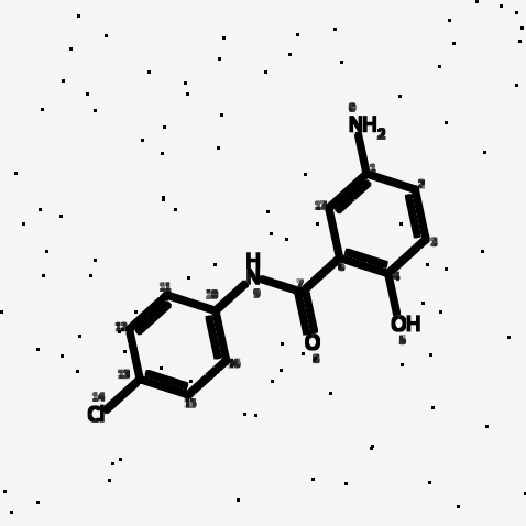 Nc1ccc(O)c(C(=O)Nc2ccc(Cl)cc2)c1